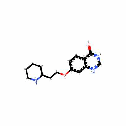 O=c1nc[nH]c2cc(OCCC3CCCCN3)ccc12